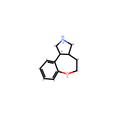 c1ccc2c(c1)OCCC1CNCC21